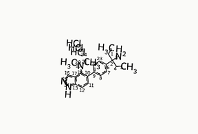 CCC(N)(CC)c1ccc(-c2ccc3[nH]ncc3c2N(C)C)cc1.Cl.Cl.Cl